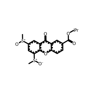 CC(C)OC(=O)c1ccc2oc3c([S+](C)[O-])cc([S+](C)[O-])cc3c(=O)c2c1